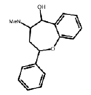 CNC1CC(c2ccccc2)Oc2ccccc2C1O